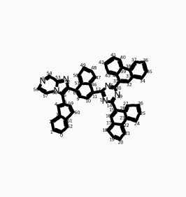 c1ccc2cc(-c3c(-c4ccc(-c5nc(-c6cc7ccccc7c7ccccc67)nc(-c6cc7ccccc7c7ccccc67)n5)c5ccccc45)nc4cnccn34)ccc2c1